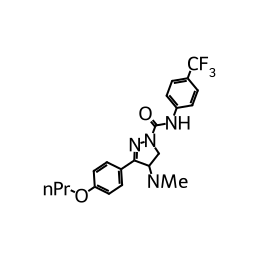 CCCOc1ccc(C2=NN(C(=O)Nc3ccc(C(F)(F)F)cc3)CC2NC)cc1